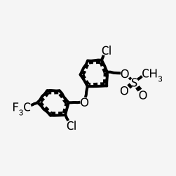 CS(=O)(=O)Oc1cc(Oc2ccc(C(F)(F)F)cc2Cl)ccc1Cl